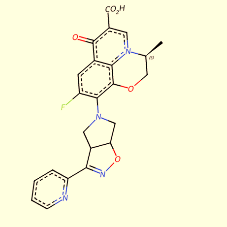 C[C@H]1COc2c(N3CC4ON=C(c5ccccn5)C4C3)c(F)cc3c(=O)c(C(=O)O)cn1c23